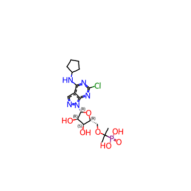 CC(C)(OC[C@H]1O[C@@H](n2ncc3c(NC4CCCC4)nc(Cl)nc32)[C@H](O)[C@@H]1O)P(=O)(O)O